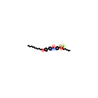 CCCCCCCCCCCCOc1ccc(-c2ccc(C(=O)Nc3ccc(C(=O)OC(CCCCCC)C(F)(F)F)cc3)cc2)cc1